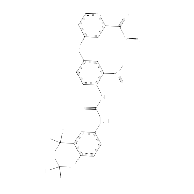 CNC(=O)c1cc(Oc2ccc(NC(=O)Nc3ccc4c(c3)C(F)(F)OC(F)(F)O4)c([N+](=O)[O-])c2)ccn1